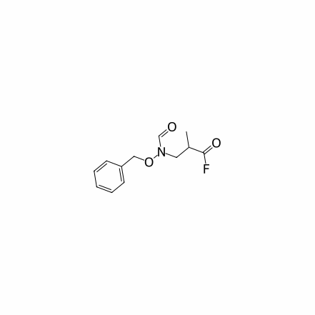 CC(CN(C=O)OCc1ccccc1)C(=O)F